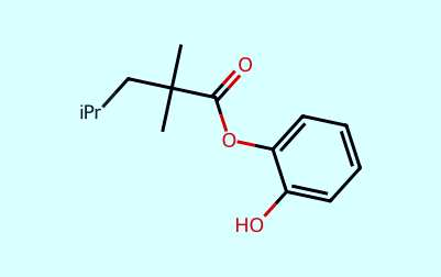 CC(C)CC(C)(C)C(=O)Oc1ccccc1O